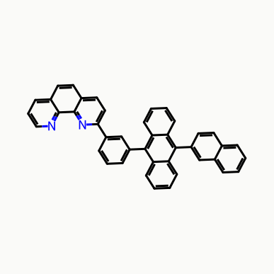 c1cc(-c2ccc3ccc4cccnc4c3n2)cc(-c2c3ccccc3c(-c3ccc4ccccc4c3)c3ccccc23)c1